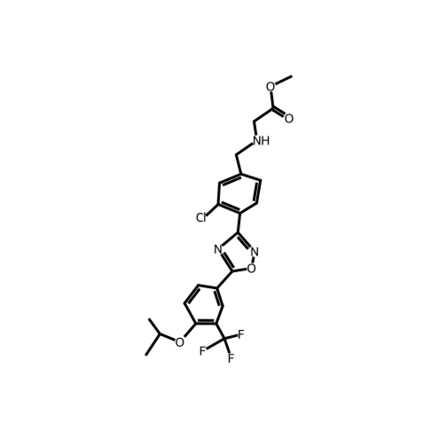 COC(=O)CNCc1ccc(-c2noc(-c3ccc(OC(C)C)c(C(F)(F)F)c3)n2)c(Cl)c1